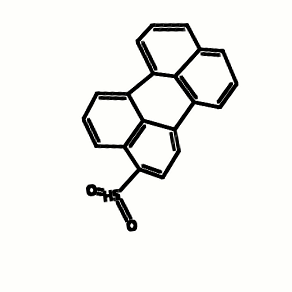 O=[SH](=O)c1ccc2c3cccc4cccc(c5cccc1c52)c43